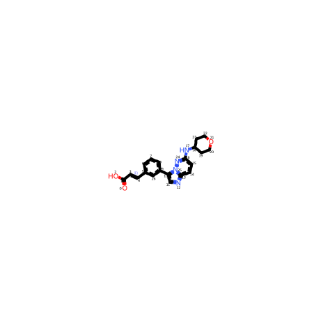 O=C(O)/C=C/c1cccc(-c2cnc3ccc(NC4CCOCC4)nn23)c1